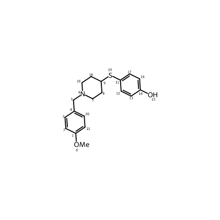 COc1ccc(CN2CCC(Sc3ccc(O)cc3)CC2)cc1